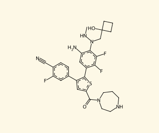 CNN(CC1(O)CCC1)c1c(N)cc(-c2sc(C(=O)N3CCCNCC3)cc2-c2ccc(C#N)c(F)c2)c(F)c1F